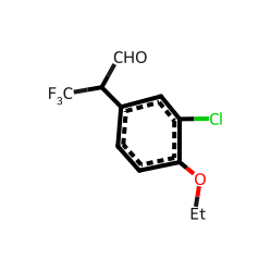 CCOc1ccc(C(C=O)C(F)(F)F)cc1Cl